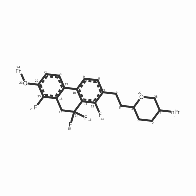 CCCC1CCC(CCc2ccc3c(c2F)C(F)(F)Cc2c-3ccc(OCC)c2F)OC1